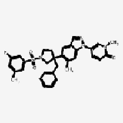 Cc1cc(F)cc(S(=O)(=O)N2CCC(Cc3ccccc3)(c3cc4cnn(-c5ccc(=O)n(C)c5)c4cc3C)C2)c1